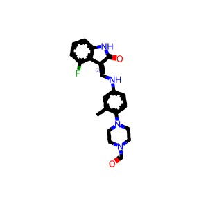 Cc1cc(N/C=C2\C(=O)Nc3cccc(F)c32)ccc1N1CCN(C=O)CC1